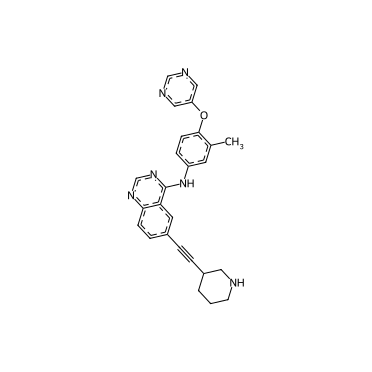 Cc1cc(Nc2ncnc3ccc(C#CC4CCCNC4)cc23)ccc1Oc1cncnc1